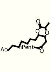 CCCCCC1OC1CC1OC(C)C(=O)OC1CCCCCCCC(C)=O